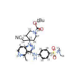 Cc1nccc2c1c(Nc1ccc(S(=O)(=O)N(C)C)cc1)nn2C1(CC#N)CCN(C(=O)OC(C)(C)C)CC1